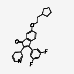 O=C1C(c2cccnc2)=C(c2cc(F)cc(F)c2)c2ccc(OCCC3CCCC3)cc21